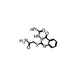 CCCC(=O)Nn1c(SCC(N)=O)nc2ccccc2c1=O